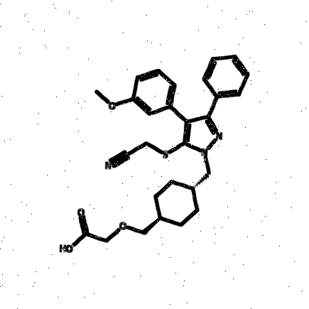 COc1cccc(-c2c(-c3ccccc3)nn(C[C@H]3CC[C@H](COCC(=O)O)CC3)c2SCC#N)c1